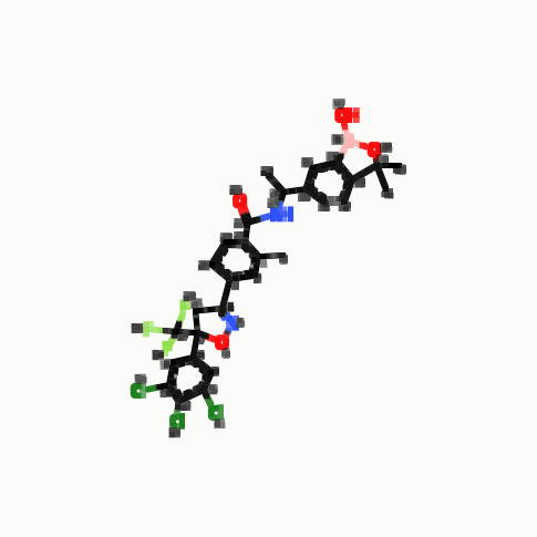 Cc1cc(C2=NOC(c3cc(Cl)c(Cl)c(Cl)c3)(C(F)(F)F)C2)ccc1C(=O)NC(C)c1ccc2c(c1)B(O)OC2(C)C